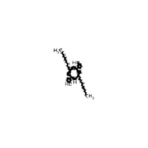 CCCCCCCCCCCCCc1c2nc(c(-c3cccc(O)c3)c3ccc([nH]3)c(CCCCCCCCCCCCC)c3nc(c(-c4cccc(O)c4)c4ccc1[nH]4)C=C3)C=C2